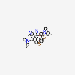 Cc1ccc2c(c1)c1ccccc1n2-c1ccc(-c2c(C#N)c(-c3cc(C)nc(C)c3)c(-c3ccc(-n4c5ccccc5c5cc(C)ccc54)cc3)c(-c3cccc4sc5ccccc5c34)c2-c2cccc3sc4ccccc4c23)cc1